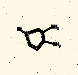 Nc1cc[n+]([O-])cc1N